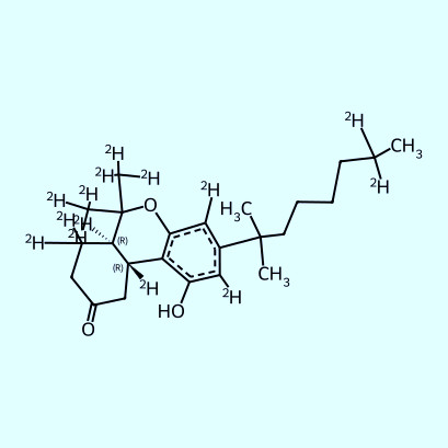 [2H]c1c(O)c2c(c([2H])c1C(C)(C)CCCCC([2H])([2H])C)OC(C([2H])([2H])[2H])(C([2H])([2H])[2H])[C@]1([2H])C([2H])([2H])CC(=O)C[C@@]21[2H]